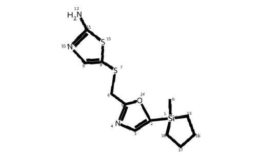 C[Si]1(c2cnc(CSc3cnc(N)s3)o2)CCCC1